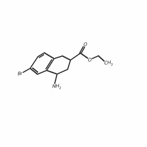 CCOC(=O)C1Cc2ccc(Br)cc2C(N)C1